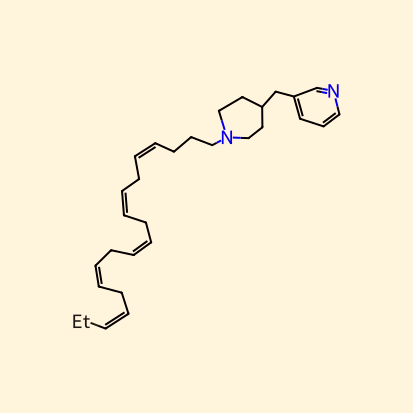 CC/C=C\C/C=C\C/C=C\C/C=C\C/C=C\CCCN1CCC(Cc2cccnc2)CC1